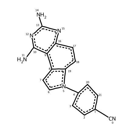 N#Cc1ccc(-n2ccc3c4c(N)nc(N)nc4ccc32)cc1